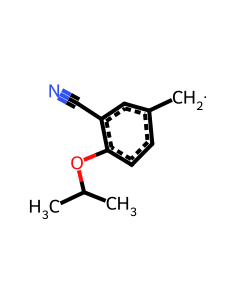 [CH2]c1ccc(OC(C)C)c(C#N)c1